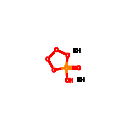 O=P1(O)OOOO1.[KH].[KH]